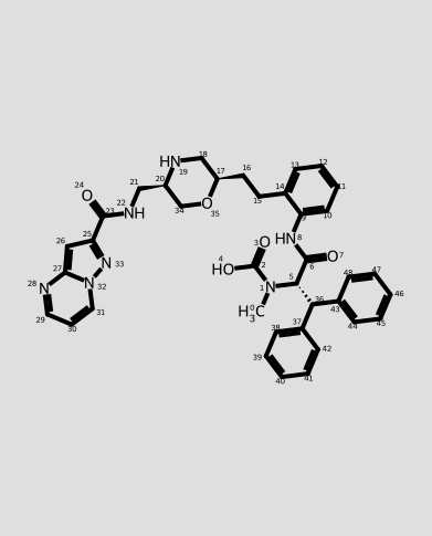 CN(C(=O)O)[C@H](C(=O)Nc1ccccc1CC[C@@H]1CN[C@H](CNC(=O)c2cc3ncccn3n2)CO1)C(c1ccccc1)c1ccccc1